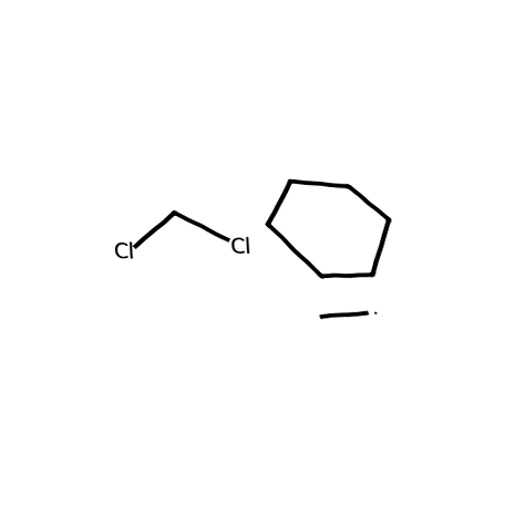 C1CCCCC1.ClCCl.[CH2]C